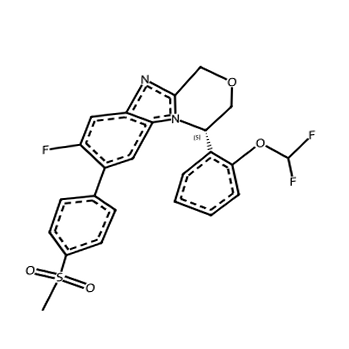 CS(=O)(=O)c1ccc(-c2cc3c(cc2F)nc2n3[C@@H](c3ccccc3OC(F)F)COC2)cc1